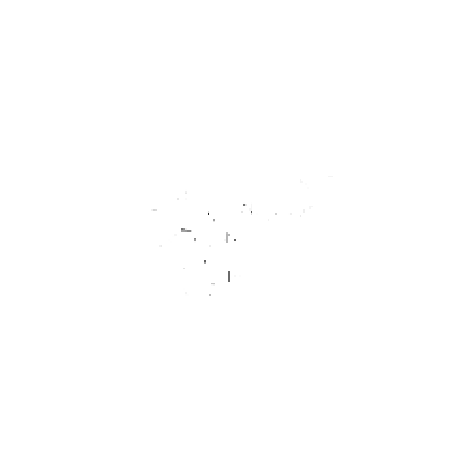 Fc1ccc(CNC2=N[C@@H](c3ccccc3Br)[C@@H](c3ccccc3Br)N2)cc1